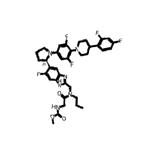 CCCN(Cc1nc2cc([C@H]3CCCN3c3cc(F)c(N4CCC(c5ccc(F)cc5F)CC4)c(F)c3)c(F)cc2[nH]1)C(=O)CNC(=O)OC